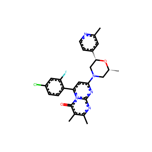 Cc1cc([C@H]2CN(c3cc(-c4ccc(Cl)cc4F)n4c(=O)c(C)c(C)nc4n3)C[C@@H](C)O2)ccn1